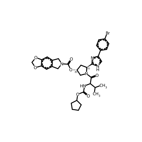 CC(C)C(NC(=O)OC1CCCC1)C(=O)N1C[C@H](OC(=O)N2Cc3cc4c(cc3C2)OCO4)C[C@H]1c1nc(-c2ccc(Br)cc2)c[nH]1